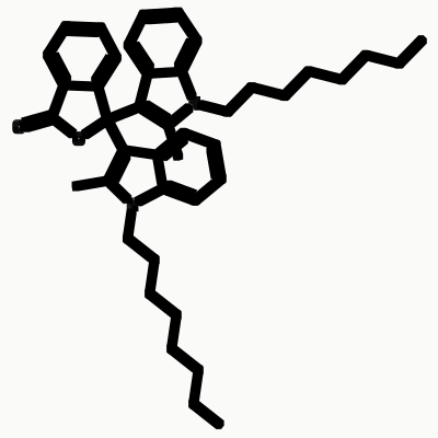 CCCCCCCCn1c(C)c(C2(c3c(C)n(CCCCCCCC)c4ccccc34)OC(=O)c3ccccc32)c2ccccc21